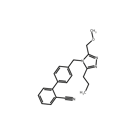 CCCc1nnc(COC)n1Cc1ccc(-c2ccccc2C#N)cc1